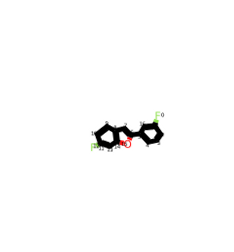 Fc1cccc(-c2cc3ccc(F)cc3o2)c1